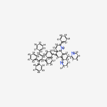 Cc1ccc2c(-c3ccccn3)cc3c(c2n1)C=C(c1ccc2c4c(cccc14)-c1c-2c(-c2ccccc2)c2ccccc2c1-c1ccccc1)C1(C)C=CC(c2ccccc2)=NC31